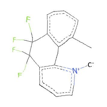 [CH2-][n+]1cccc2c1-c1c(C)cccc1C(F)(F)C2(F)F